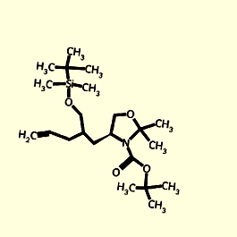 C=CCC(CO[Si](C)(C)C(C)(C)C)C[C@H]1COC(C)(C)N1C(=O)OC(C)(C)C